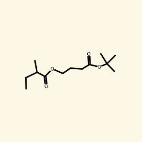 CCC(C)C(=O)OCCCC(=O)OC(C)(C)C